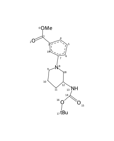 COC(=O)c1cccc(N2CCCC(NC(=O)OC(C)(C)C)C2)c1